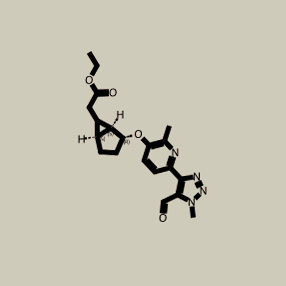 CCOC(=O)CC1[C@H]2[C@H](Oc3ccc(-c4nnn(C)c4C=O)nc3C)CC[C@@H]12